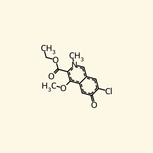 CCOC(=O)c1c(OC)c2cc(=O)c(Cl)cc-2cn1C